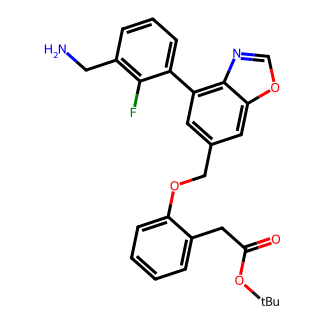 CC(C)(C)OC(=O)Cc1ccccc1OCc1cc(-c2cccc(CN)c2F)c2ncoc2c1